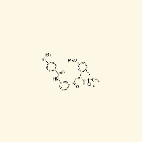 CCCCOc1ccc(C(=O)Nc2cccc(C(=O)C=C3NC(C)(C)Cc4ccc(OC)cc43)c2)cc1